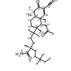 CCC(C)(C)CC[C@@](C)(CCC(C)(C)[C@]1(C)CC[C@H]2[C@H](C)C(=O)C(C#N)=C[C@]2(C)[C@H]1CC(C)=O)C(N)=O